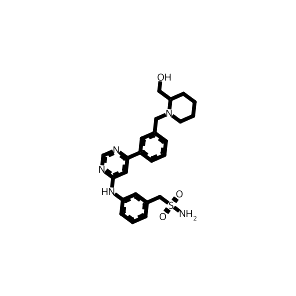 NS(=O)(=O)Cc1cccc(Nc2cc(-c3cccc(CN4CCCCC4CO)c3)ncn2)c1